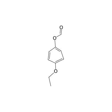 CCOc1ccc(OC=O)cc1